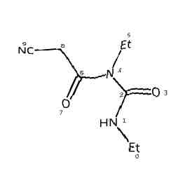 CCNC(=O)N(CC)C(=O)CC#N